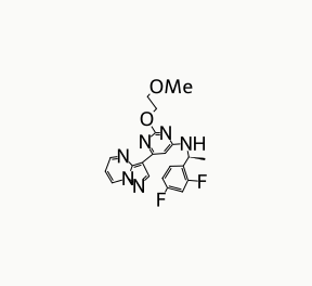 COCCOc1nc(N[C@@H](C)c2ccc(F)cc2F)cc(-c2cnn3cccnc23)n1